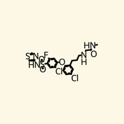 CNC(=O)CNCCCc1cc(Cl)ccc1Oc1cc(F)c(S(=O)(=O)Nc2cscn2)cc1Cl